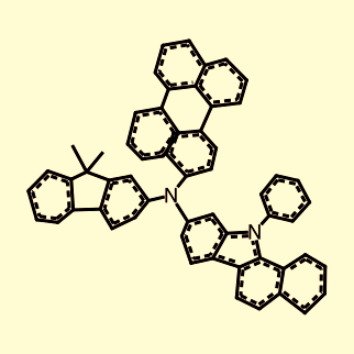 CC1(C)c2ccccc2-c2ccc(N(c3ccc(-c4cccc5cccc(-c6ccccc6)c45)cc3)c3ccc4c5ccc6ccccc6c5n(-c5ccccc5)c4c3)cc21